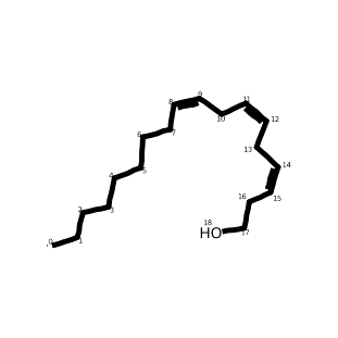 [CH2]CCCCCCC/C=C\C/C=C\C/C=C\CCO